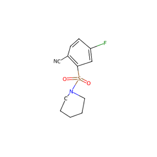 N#Cc1ccc(F)cc1S(=O)(=O)N1CCCCC1